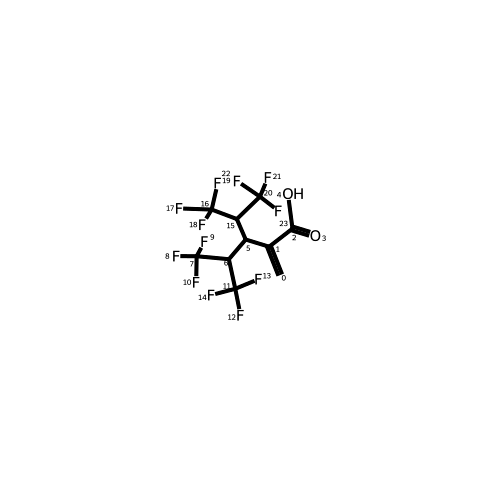 C=C(C(=O)O)C(C(C(F)(F)F)C(F)(F)F)C(C(F)(F)F)C(F)(F)F